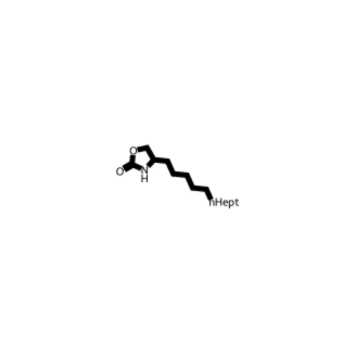 CCCCCCCCCCCCC1COC(=O)N1